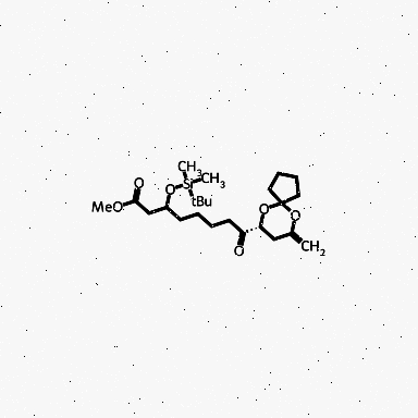 C=C1C[C@H](C(=O)CCCCC(CC(=O)OC)O[Si](C)(C)C(C)(C)C)OC2(CCCC2)O1